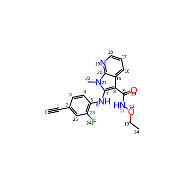 C#Cc1ccc(Nc2c(C(=O)NOCC)c3cccnc3n2C)c(F)c1